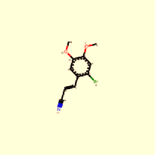 COc1cc(Br)c(C=CC#N)cc1OC